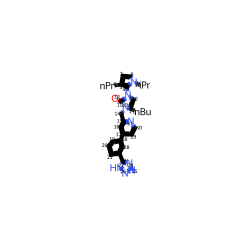 CCCCc1cn(-c2c(CCC)ccn2C(C)C)c(=O)n1Cc1cc(-c2cccc(-c3nnn[nH]3)c2)ccn1